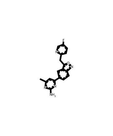 Cc1cc(-c2ccc3noc(Cc4ccc(F)cn4)c3c2)nc(N)n1